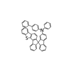 c1ccc(-c2ccc(N(c3ccccc3)c3ccc4c(c3)C3(c5ccccc5-4)c4ccccc4-c4c3ccc3c4sc4ccccc43)cc2)cc1